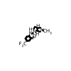 CN1C[C@H]2CCN(C(=O)Nc3ccc(C(F)(F)F)cc3F)[C@H]2C1